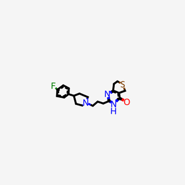 O=c1[nH]c(CCCN2CCC(c3ccc(F)cc3)CC2)nc2c1CSCC2